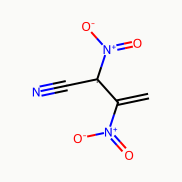 C=C([C](C#N)[N+](=O)[O-])[N+](=O)[O-]